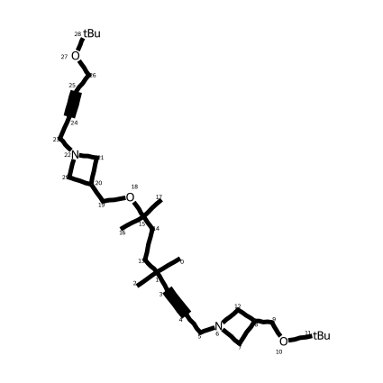 CC(C)(C#CCN1CC(COC(C)(C)C)C1)CCC(C)(C)OCC1CN(CC#CCOC(C)(C)C)C1